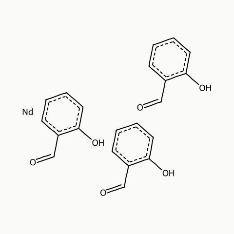 O=Cc1ccccc1O.O=Cc1ccccc1O.O=Cc1ccccc1O.[Nd]